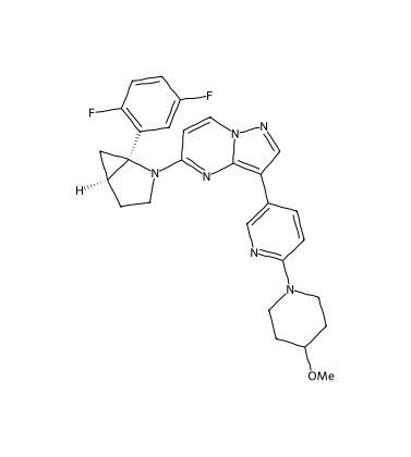 COC1CCN(c2ccc(-c3cnn4ccc(N5CC[C@H]6C[C@]65c5cc(F)ccc5F)nc34)cn2)CC1